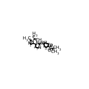 Cc1ncc(-c2ccnc(Nc3ccc(S(=O)(=O)C(C)C)cc3)n2)n1C(C)C